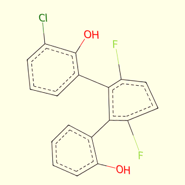 Oc1ccccc1-c1c(F)ccc(F)c1-c1cccc(Cl)c1O